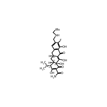 CN(C)[C@@H]1C(O)=C(C(N)=O)C(=O)[C@@]2(O)C(O)=C3C(=O)c4c(cc(CNCC(C)(C)C)c(F)c4O)C[C@H]3C[C@@H]12